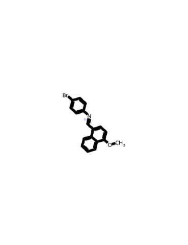 COc1ccc(/C=N/c2ccc(Br)cc2)c2ccccc12